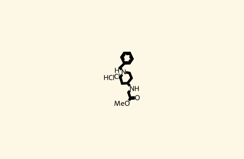 COC(=O)CNC1CCN(Cc2ccccc2)CC1.Cl.Cl